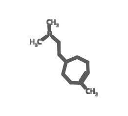 CC1=CCCC(CCN(C)C)CC1